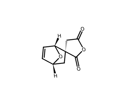 O=C1C[C@@]2(C[C@@H]3C=C[C@H]2O3)C(=O)O1